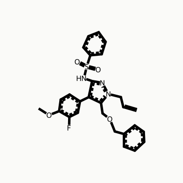 C=CCn1nc(NS(=O)(=O)c2ccccc2)c(-c2ccc(OC)c(F)c2)c1COCc1ccccc1